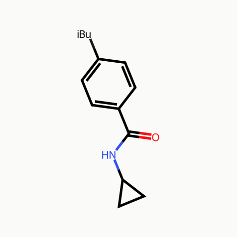 CCC(C)c1ccc(C(=O)NC2CC2)cc1